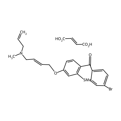 C=CCN(C)CC=CCOc1ccc(C(=O)c2ccc(Br)cc2)c(SC)c1.O=C(O)C=CC(=O)O